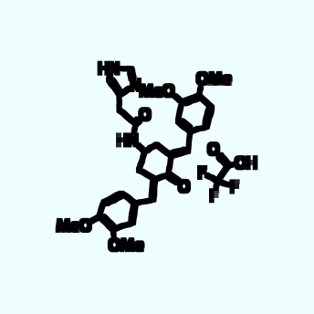 COc1ccc(/C=C2\CC(NC(=O)Cc3c[nH]cn3)C/C(=C\c3ccc(OC)c(OC)c3)C2=O)cc1OC.O=C(O)C(F)(F)F